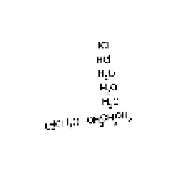 Cl.Cl.Cl.O.O.O.O.O.O.O.[Ce]